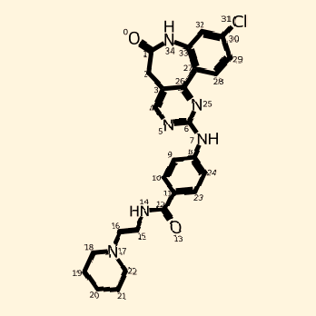 O=C1Cc2cnc(Nc3ccc(C(=O)NCCN4CCCCC4)cc3)nc2-c2ccc(Cl)cc2N1